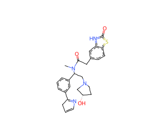 CN(C(=O)Cc1ccc2sc(=O)[nH]c2c1)C(CN1CC[C@H](O)C1)c1cccc(C2=NC=CC2)c1